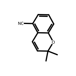 CC1(C)C=Cc2c(C#N)cccc2O1